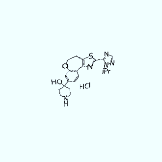 CC(C)n1ncnc1-c1nc2c(s1)CCOc1cc(C3(O)CCNCC3)ccc1-2.Cl